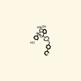 Cl.O=C(c1cccc2c1C(S(=O)(=O)c1ccccc1)CS2(O)O)N1CCN(Cc2ccc(-c3ccccc3)cc2)CC1